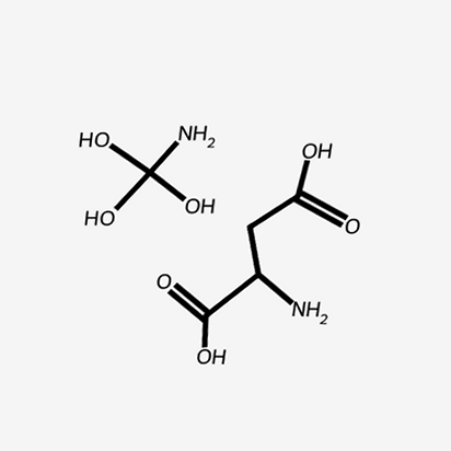 NC(CC(=O)O)C(=O)O.NC(O)(O)O